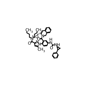 CCCCN(CCCC)C(=O)c1cc(C)n(-c2ccc(NC(=O)N[C@@H]3CC3c3ccccc3)cc2C(=O)N2Cc3ccccc3C[C@H]2CO)n1